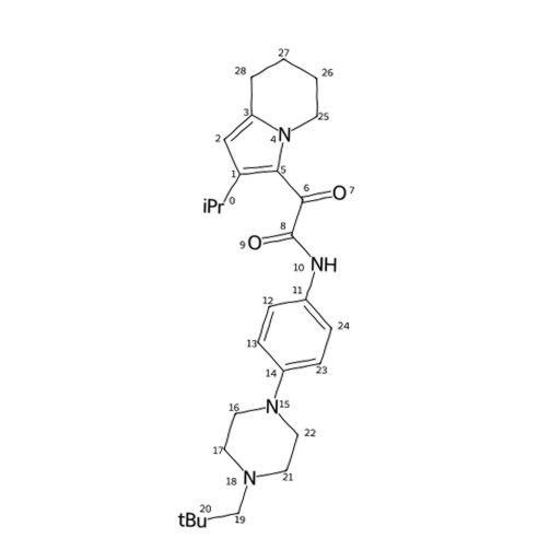 CC(C)c1cc2n(c1C(=O)C(=O)Nc1ccc(N3CCN(CC(C)(C)C)CC3)cc1)CCCC2